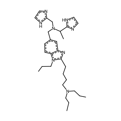 CCCN(CCC)CCCCc1nc2cc(CN(Cc3ncc[nH]3)C(C)c3ncc[nH]3)ccc2n1CCC